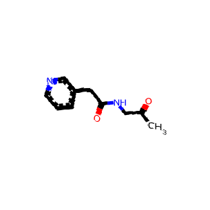 CC(=O)CNC(=O)Cc1cccnc1